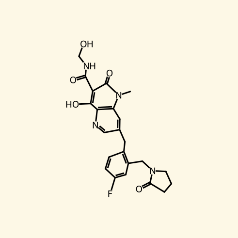 Cn1c(=O)c(C(=O)NCO)c(O)c2ncc(Cc3ccc(F)cc3CN3CCCC3=O)cc21